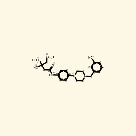 N#Cc1cccc(CN2CCN(c3ccc(NC(=O)CC(O)(CC(=O)O)C(=O)O)cc3)CC2)c1